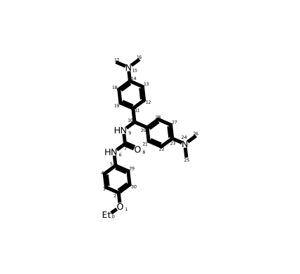 CCOc1ccc(NC(=O)NC(c2ccc(N(C)C)cc2)c2ccc(N(C)C)cc2)cc1